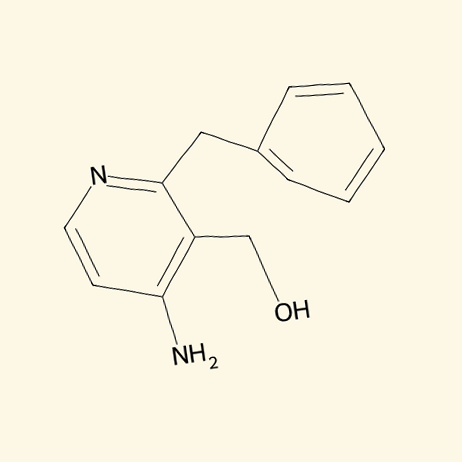 Nc1ccnc(Cc2ccccc2)c1CO